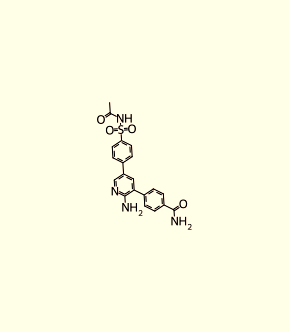 CC(=O)NS(=O)(=O)c1ccc(-c2cnc(N)c(-c3ccc(C(N)=O)cc3)c2)cc1